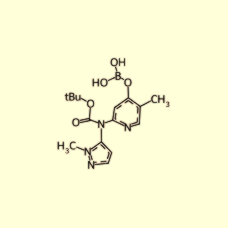 Cc1cnc(N(C(=O)OC(C)(C)C)c2ccnn2C)cc1OB(O)O